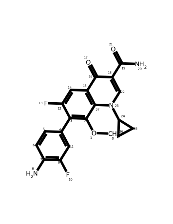 COc1c(-c2ccc(N)c(F)c2)c(F)cc2c(=O)c(C(N)=O)cn(C3CC3)c12